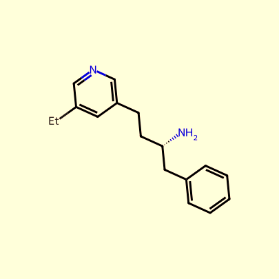 CCc1cncc(CC[C@H](N)Cc2ccccc2)c1